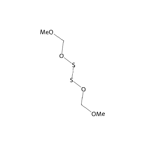 COCOSSOCOC